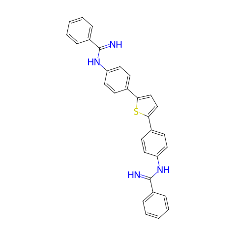 N=C(Nc1ccc(-c2ccc(-c3ccc(NC(=N)c4ccccc4)cc3)s2)cc1)c1ccccc1